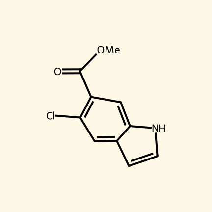 COC(=O)c1cc2[nH]ccc2cc1Cl